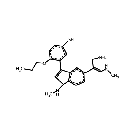 CCCOc1ccc(S)cc1C1=CC(NC)c2ccc(/C(=C/NC)CN)cc21